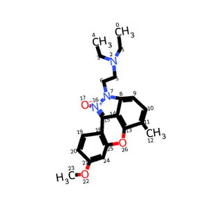 CCN(CC)CCn1c2ccc(C)c3c2c([n+]1[O-])-c1ccc(OC)cc1O3